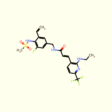 C=Cc1cc(CNC(=O)C=Cc2ccc(C(F)(F)F)nc2NCC)cc(F)c1NS(C)(=O)=O